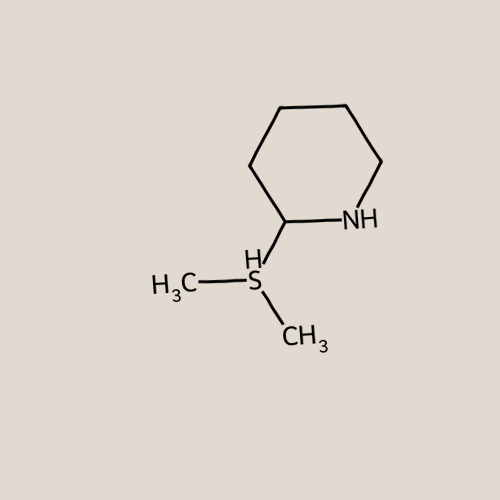 C[SH](C)C1CCCCN1